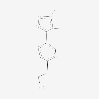 COCOc1ccc(-c2nnn(C)c2I)cc1